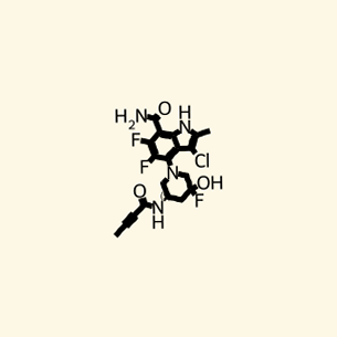 CC#CC(=O)N[C@@H]1CN(c2c(F)c(F)c(C(N)=O)c3[nH]c(C)c(Cl)c23)CC(O)(F)C1